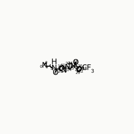 CN(C)CCCNC(=O)c1ccc(N2CCN(C(=O)c3cccc(C(F)(F)F)c3)CC2)nc1